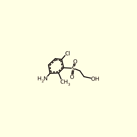 Cc1c(N)ccc(Cl)c1S(=O)(=O)CCO